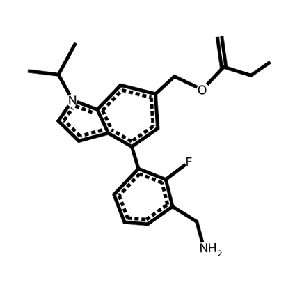 C=C(CC)OCc1cc(-c2cccc(CN)c2F)c2ccn(C(C)C)c2c1